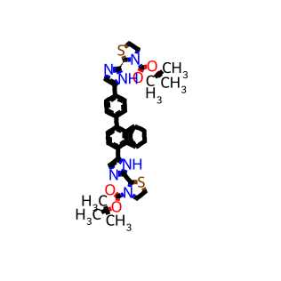 CC(C)(C)OC(=O)N1CCSC1c1ncc(-c2ccc(-c3ccc(-c4cnc([C@@H]5SCCN5C(=O)OC(C)(C)C)[nH]4)cc3)c3c2C2CCC3CC2)[nH]1